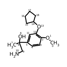 COc1ccc([C@@](C)(O)CN)cc1OC1CCCC1